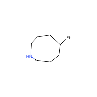 CCC1CC[CH]NCCC1